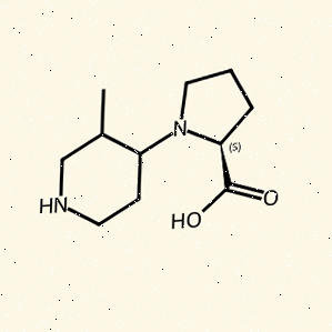 CC1CNCCC1N1CCC[C@H]1C(=O)O